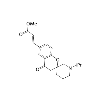 COC(=O)/C=C/c1ccc2c(c1)C(=O)CC1(CCCN(C(C)C)C1)O2